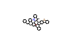 Cc1c(C2c3cc4sc5ccccc5c4cc3-c3c2ccc2ccccc32)c(-c2cccc3c2-c2ccccc2/C(=C\c2ccccc2)C3)nc2ccccc12